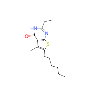 CCCCCCc1sc2nc(CC)[nH]c(=O)c2c1C